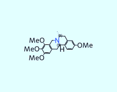 COc1ccc2c(c1)C[C@@H](C)N1Cc3c(cc(OC)c(OC)c3OC)C[C@@H]21